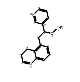 O=COC(Cc1cccc2c1CCC=N2)c1cccnc1